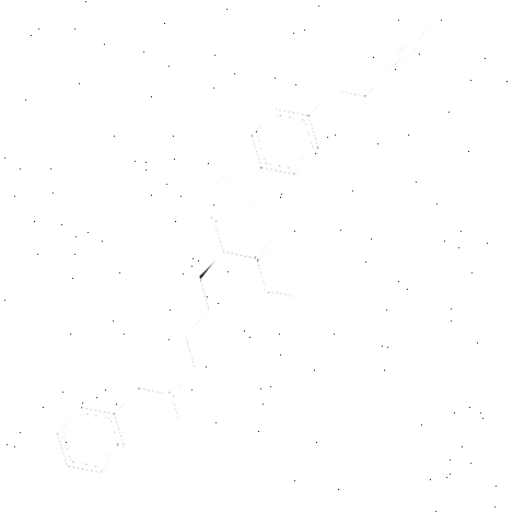 CC#CCOc1ccc(S(=O)(=O)N[C@H](CCCCN(Cc2ccccc2)C(=O)O)C(=O)NO)cc1